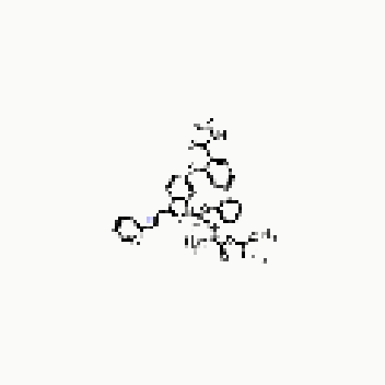 CNC(=O)c1ccccc1Sc1ccc2c(/C=C/c3ccccn3)nn(P(=S)(N[C@@H](C)C(=O)OC(C)C)Oc3ccccc3)c2c1